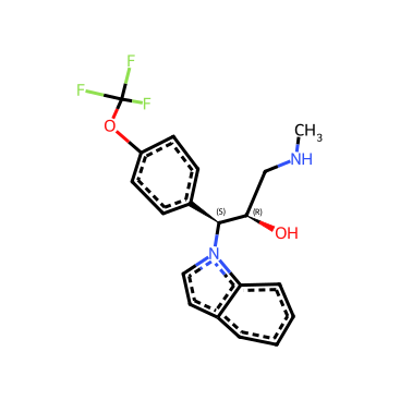 CNC[C@@H](O)[C@H](c1ccc(OC(F)(F)F)cc1)n1ccc2ccccc21